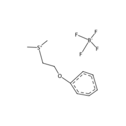 C[S+](C)CCOc1ccccc1.F[B-](F)(F)F